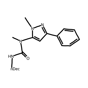 CCCCCCCCCCNC(=O)N(C)c1cc(-c2ccccc2)nn1C